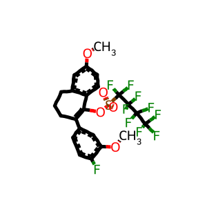 COc1ccc2c(c1)CCCC(c1ccc(F)c(OC)c1)=C2OS(=O)(=O)C(F)(F)C(F)(F)C(F)(F)C(F)(F)F